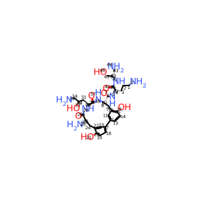 NCCC[C@H](NC(=O)[C@@H]1Cc2cc(ccc2O)-c2ccc(O)c(c2)C[C@H](N)C(=O)N[C@@H](C[C@@H](O)CN)C(=O)N1)C(=O)N[C@@H](CN)CO